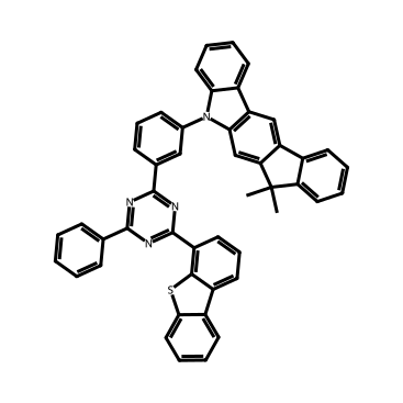 CC1(C)c2ccccc2-c2cc3c4ccccc4n(-c4cccc(-c5nc(-c6ccccc6)nc(-c6cccc7c6sc6ccccc67)n5)c4)c3cc21